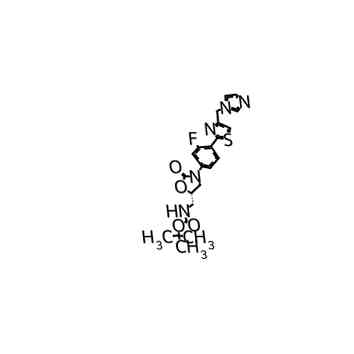 CC(C)(C)OC(=O)NC[C@H]1CN(c2ccc(-c3nc(Cn4ccnc4)cs3)c(F)c2)C(=O)O1